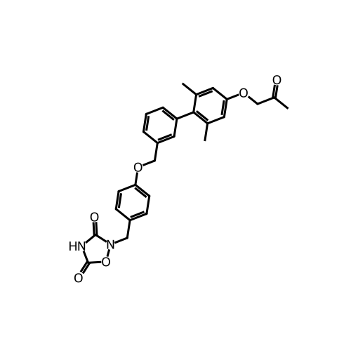 CC(=O)COc1cc(C)c(-c2cccc(COc3ccc(Cn4oc(=O)[nH]c4=O)cc3)c2)c(C)c1